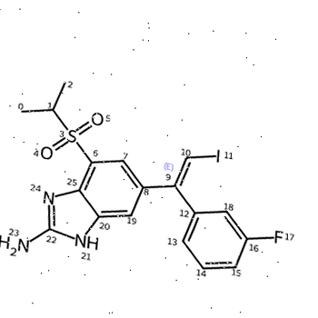 CC(C)S(=O)(=O)c1cc(/C(=C/I)c2cccc(F)c2)cc2[nH]c(N)nc12